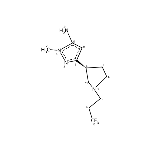 Cn1nc([C@H]2CCN(CCC(F)(F)F)C2)cc1N